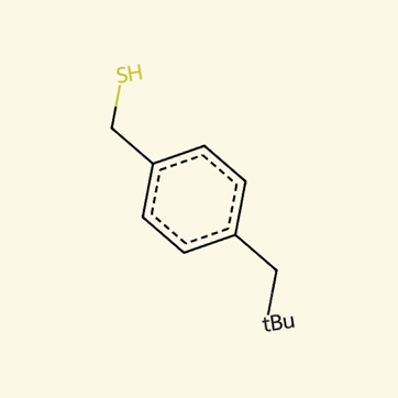 CC(C)(C)Cc1ccc(CS)cc1